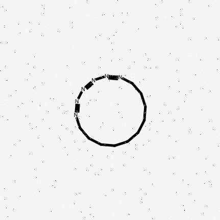 C1CCCCCN=NN=NN=NCCCC1